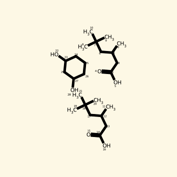 CC(CC(=O)O)CC(C)(C)C.CC(CC(=O)O)CC(C)(C)C.OC1CCCC(O)C1